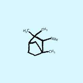 CNC1C2(C)CCC(C2)C1(C)C